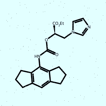 CCOC(=O)[C@@H](Cn1ccnc1)OC(=O)Nc1c2c(cc3c1CCC3)CCC2